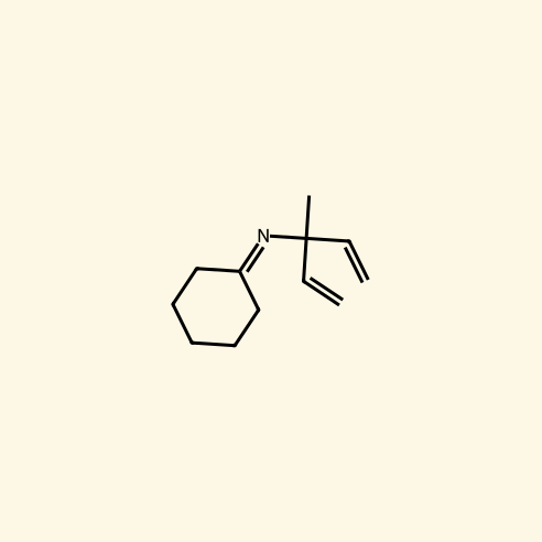 C=CC(C)(C=C)N=C1CCCCC1